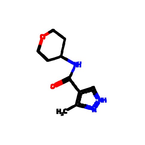 Cc1n[nH]cc1C(=O)NC1CCOCC1